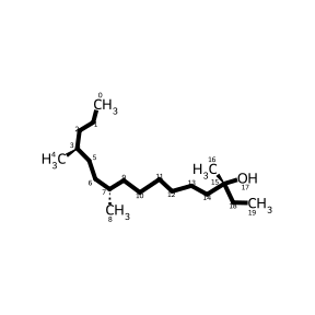 CCC[C@H](C)CC[C@@H](C)CCCCCC[C@](C)(O)CC